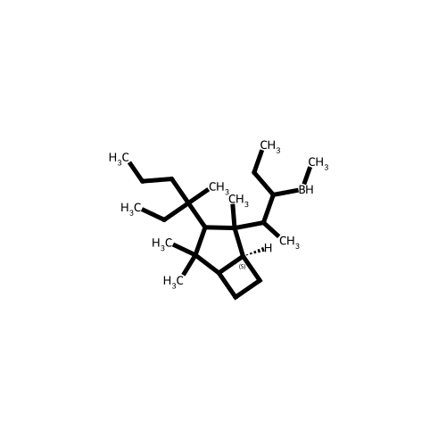 CBC(CC)C(C)C1(C)C(C(C)(CC)CCC)C(C)(C)C2CC[C@@H]21